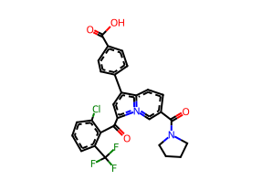 O=C(O)c1ccc(-c2cc(C(=O)c3c(Cl)cccc3C(F)(F)F)n3cc(C(=O)N4CCCC4)ccc23)cc1